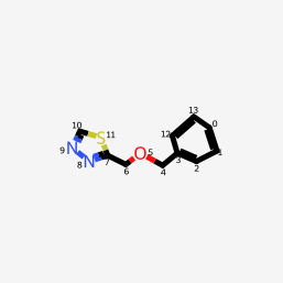 c1ccc(COCc2nncs2)cc1